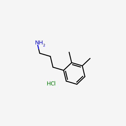 Cc1cccc(CCCN)c1C.Cl